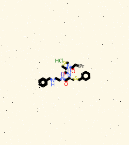 CC(C)CC(=O)N1CSC[C@H]1C(=O)N[C@@H](CSCC1CCCCC1)C(=O)NCCNCc1ccccc1.Cl